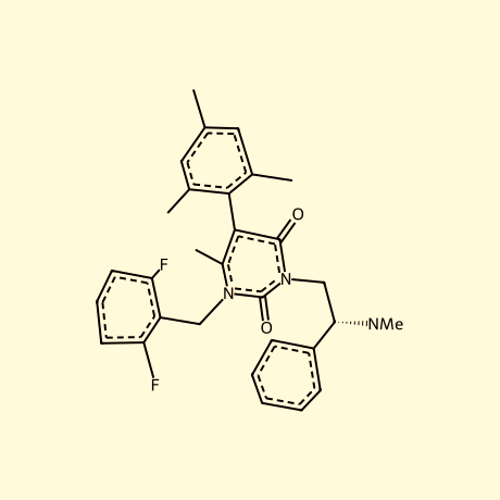 CN[C@@H](Cn1c(=O)c(-c2c(C)cc(C)cc2C)c(C)n(Cc2c(F)cccc2F)c1=O)c1ccccc1